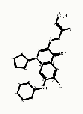 CC(=CC(=O)O)COc1cn(C2CCCC2)c2cc(NC3CCCCC3)c(F)cc2c1=O